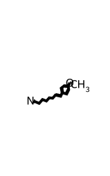 COc1ccc(C=CCCCCCC#N)cc1